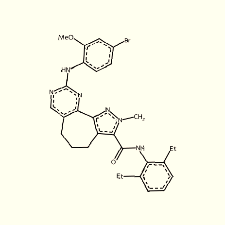 CCc1cccc(CC)c1NC(=O)c1c2c(nn1C)-c1nc(Nc3ccc(Br)cc3OC)ncc1CCC2